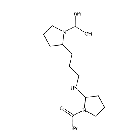 CCCC(O)N1CCCC1CCCNC1CCCN1C(=O)C(C)C